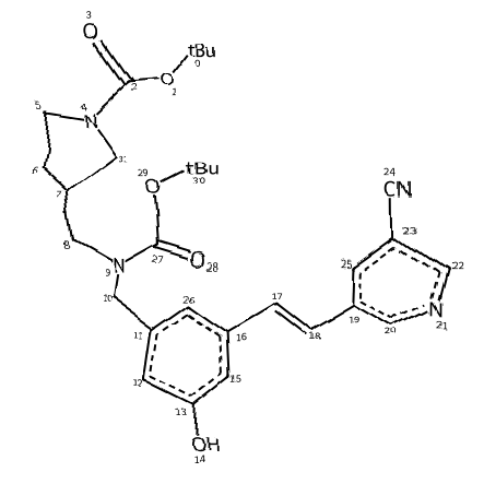 CC(C)(C)OC(=O)N1CCC(CN(Cc2cc(O)cc(/C=C/c3cncc(C#N)c3)c2)C(=O)OC(C)(C)C)C1